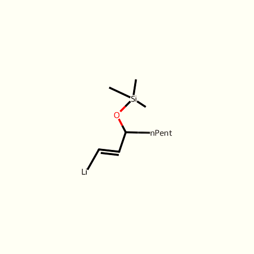 [Li]/[CH]=C/C(CCCCC)O[Si](C)(C)C